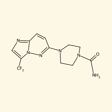 NC(=O)N1CCN(c2ccc3ncc(C(F)(F)F)n3n2)CC1